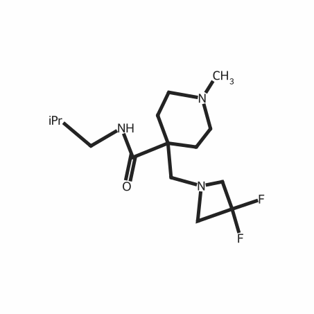 CC(C)CNC(=O)C1(CN2CC(F)(F)C2)CCN(C)CC1